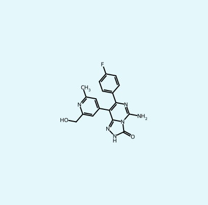 Cc1cc(-c2c(-c3ccc(F)cc3)nc(N)n3c(=O)[nH]nc23)cc(CO)n1